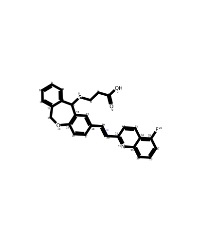 O=C(O)CCSC1c2ccccc2COc2ccc(/C=C/c3ccc4c(F)cccc4n3)cc21